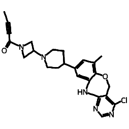 CC#CC(=O)N1CC(N2CCC(c3cc(C)c4c(c3)Nc3ncnc(Cl)c3CO4)CC2)C1